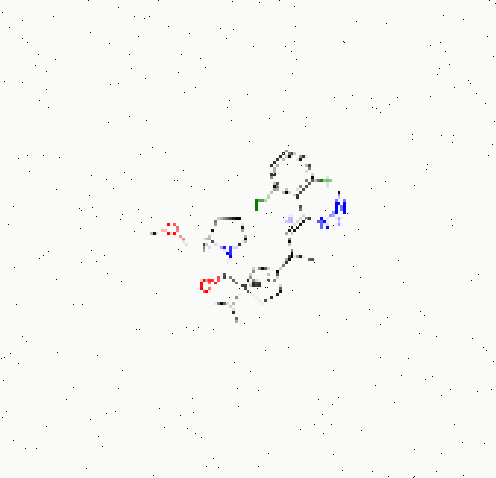 C/N=N\C(=C/C(C)[C@H]1CC[C@](C(=O)N2CCC[C@H]2COC)(C(C)C)C1)c1c(F)cccc1F